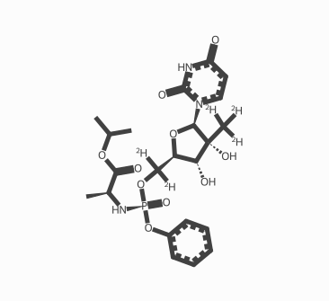 [2H]C([2H])(O[P@@](=O)(N[C@@H](C)C(=O)OC(C)C)Oc1ccccc1)[C@H]1O[C@@H](n2ccc(=O)[nH]c2=O)[C@@](O)(C([2H])([2H])[2H])[C@@H]1O